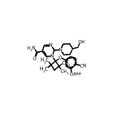 COc1cc(OC2(N3C=C(C(N)=O)C=NC3N3CCC(CO)CC3)C(C)(C)CC2(C)C)ccc1C#N